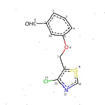 O=Cc1cccc(OCc2scnc2Cl)c1